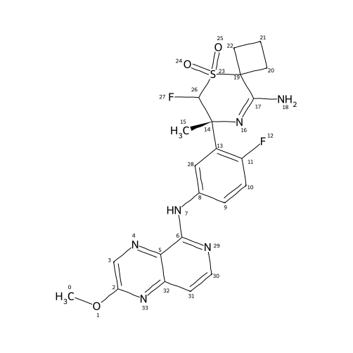 COc1cnc2c(Nc3ccc(F)c([C@@]4(C)N=C(N)C5(CCC5)S(=O)(=O)C4F)c3)nccc2n1